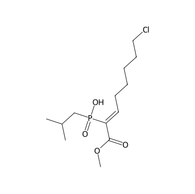 COC(=O)C(=CCCCCCCl)P(=O)(O)CC(C)C